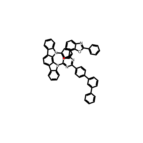 c1ccc(-c2cccc(-c3ccc(-c4nc(-c5cccc6nc(-c7ccccc7)oc56)nc(-n5c6ccccc6c6ccc7c8ccccc8n(-c8ccccc8)c7c65)n4)cc3)c2)cc1